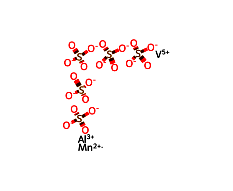 O=S(=O)([O-])[O-].O=S(=O)([O-])[O-].O=S(=O)([O-])[O-].O=S(=O)([O-])[O-].O=S(=O)([O-])[O-].[Al+3].[Mn+2].[V+5]